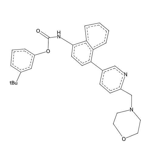 CC(C)(C)c1cccc(OC(=O)Nc2ccc(-c3ccc(CN4CCOCC4)nc3)c3ccccc23)c1